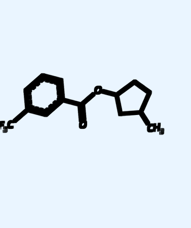 CC1CCC(OC(=O)c2cccc(C(F)(F)F)c2)C1